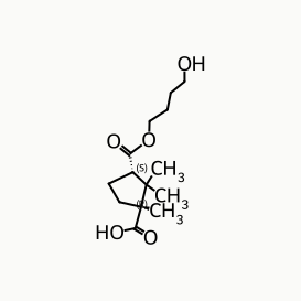 CC1(C)[C@@H](C(=O)OCCCCO)CC[C@@]1(C)C(=O)O